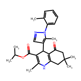 CC1=C(C(=O)OC(C)C)C(c2cnn(-c3ccccc3C)c2C)C2=C(CC(C)(C)CC2=O)N1